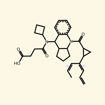 C=C/C=C(\C=C/C)C1CC1C(=O)N1c2ccccc2C(N(C(=O)CCC(=O)O)C2CCC2)C2CCCC21